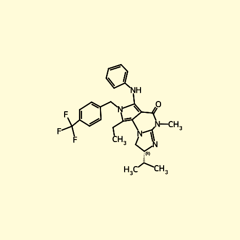 CCc1c2c(c(Nc3ccccc3)n1Cc1ccc(C(F)(F)F)cc1)C(=O)N(C)C1=N[C@H](C(C)C)CN12